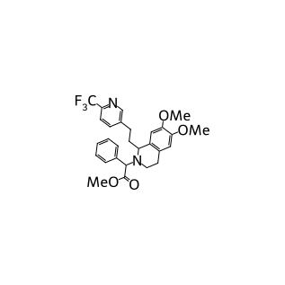 COC(=O)C(c1ccccc1)N1CCc2cc(OC)c(OC)cc2C1CCc1ccc(C(F)(F)F)nc1